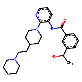 CC(O)c1cccc(C(=O)Nc2cccnc2N2CCC(CCN3CCCCC3)CC2)c1